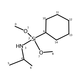 CO[Si](NC(C)C)(OC)C1CCCCC1